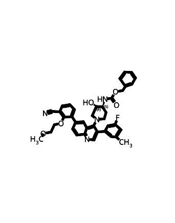 COCCOc1c(C#N)cccc1-c1ccc2ncc(-c3cc(C)cc(F)c3)c(N3CC[C@H](NC(=O)OCc4ccccc4)[C@H](O)C3)c2c1